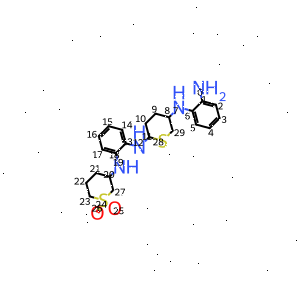 Nc1ccccc1NC1CCC(Nc2ccccc2NC2CCCS(=O)(=O)C2)SC1